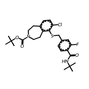 CC(C)(C)NC(=O)c1ccc(CSc2c(Cl)ccc3c2CCN(C(=O)OC(C)(C)C)CC3)cc1F